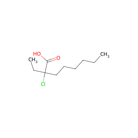 CCCCCCC(Cl)(CC)C(=O)O